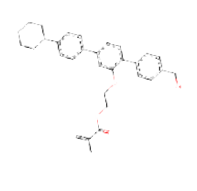 C=C(C)C(=O)OCCOc1cc(-c2ccc(C3CCCCC3)cc2)ccc1-c1ccc(CO)cc1